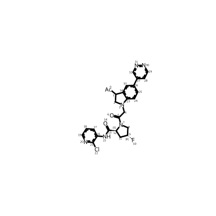 CC(=O)C1CN(CC(=O)N2C[C@H](F)C[C@H]2C(=O)Nc2cccnc2Cl)c2ccc(-c3ccnnc3)cc21